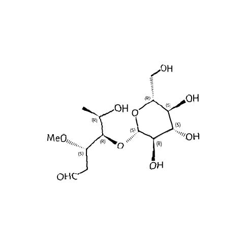 CO[C@@H](CC=O)[C@H](O[C@@H]1O[C@H](CO)[C@@H](O)[C@H](O)[C@H]1O)[C@@H](C)O